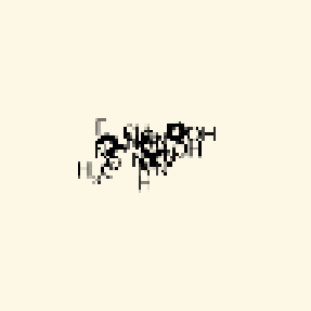 COc1ncc(F)cc1CN(C)C(=O)c1n[nH]c2ncnc(N[C@@H]3CC[C@@H](O)[C@H]3O)c12